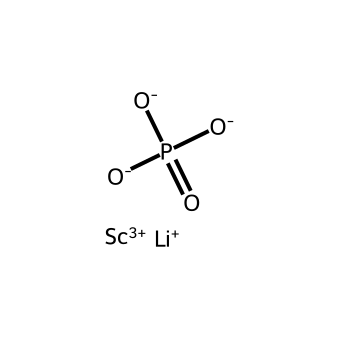 O=P([O-])([O-])[O-].[Li+].[Sc+3]